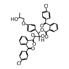 CC(O)COc1ccc(C(OC(=O)c2ccccc2C(=O)c2ccc(Cl)cc2)C(C)(O)C(=O)C(=O)c2ccccc2C(=O)c2ccc(Cl)cc2)cc1